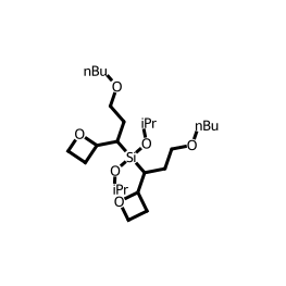 CCCCOCCC(C1CCO1)[Si](OC(C)C)(OC(C)C)C(CCOCCCC)C1CCO1